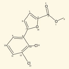 COC(=O)c1ccc(-c2cccc(Cl)c2Cl)o1